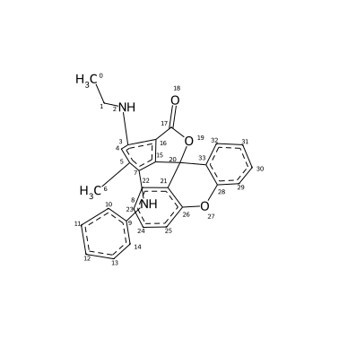 CCNc1cc(C)c(Nc2ccccc2)c2c1C(=O)OC21c2ccccc2Oc2ccccc21